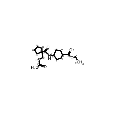 CCOC(=O)C1CCC(NC(=O)C2(CSC(C)=O)CCCC2)CC1